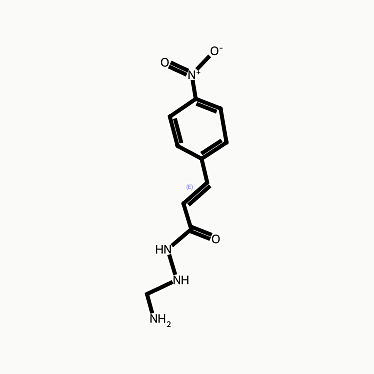 NCNNC(=O)/C=C/c1ccc([N+](=O)[O-])cc1